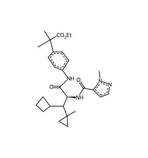 CCOC(=O)C(C)(C)c1ccc(NC(=O)[C@@H](NC(=O)c2ccnn2C)C(C2CCC2)C2(C)CC2)cc1